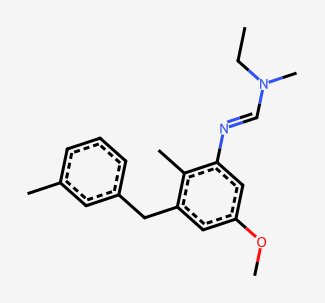 CCN(C)C=Nc1cc(OC)cc(Cc2cccc(C)c2)c1C